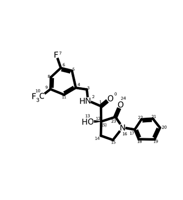 O=C(NCc1cc(F)cc(C(F)(F)F)c1)[C@@]1(O)CCN(c2ccccc2)C1=O